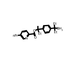 BC(CC)(CC)c1ccc(C(C)(CC)OC(=O)c2ccc(CCC)cn2)cc1